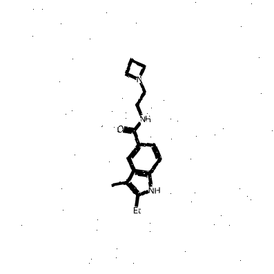 CCc1[nH]c2ccc(C(=O)NCCN3CCC3)cc2c1C